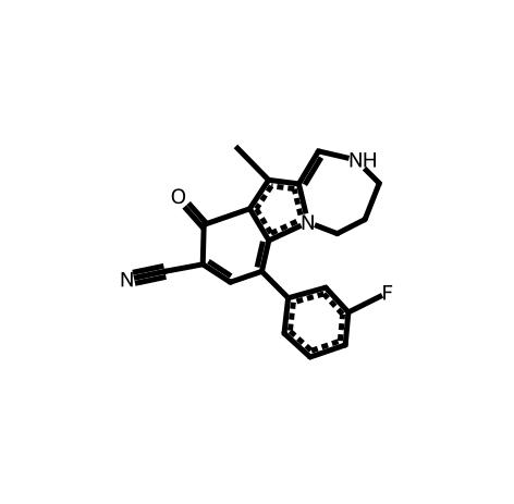 Cc1c2c(n3c1=CNCCC3)=C(c1cccc(F)c1)C=C(C#N)C2=O